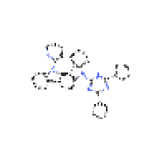 c1ccc(-c2nc(-c3ccccc3)nc(-n3c4ccccc4c4c3ccc3c5ccccc5n(-c5ccccn5)c34)n2)cc1